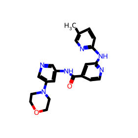 Cc1ccc(Nc2cc(C(=O)Nc3cncc(N4CCOCC4)c3)ccn2)nc1